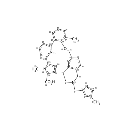 Cc1cc(CN2CCc3cc(COc4c(C)cccc4-c4cccc(-c5ncc(C(=O)O)n5C)n4)ccc3C2)no1